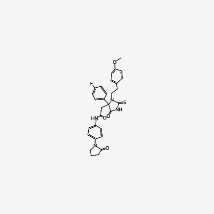 COc1ccc(CCN2C(=S)NC(=O)C2(CC(=O)Nc2ccc(N3CCCC3=O)cc2)c2ccc(F)cc2)cc1